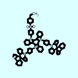 C=Cc1ccc(S(=O)(=O)c2ccc(-n3c4ccccc4c4c5c(c6ccccc6n5-c5ccc(N6c7ccccc7C7(c8ccccc8-c8ccccc87)c7ccccc76)cc5)c5c(c6ccccc6n5-c5ccc(N6c7ccccc7C7(c8ccccc8-c8ccccc87)c7ccccc76)cc5)c43)cc2)cc1